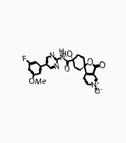 COc1cc(F)cc(-c2cnc(NC(=O)[C@]3(O)CC[C@@]4(CC3)OC(=O)c3c[n+]([O-])ccc34)nc2)c1